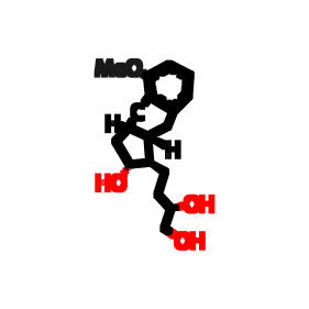 COc1cccc2c1C[C@H]1C[C@@H](O)[C@H](CC[C@@H](O)CO)[C@H]1C2